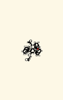 c1c(OCC2CO2)c(C23CC4CC(CC(C4)C2)C3)c(OCC2CO2)c(C23CC4CC(CC(C4)C2)C3)c1C12CC3CC(CC(C3)C1)C2